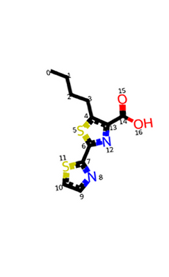 CCCCc1sc(-c2nccs2)nc1C(=O)O